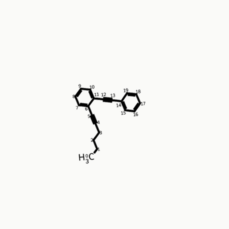 CCCCC#Cc1ccccc1C#Cc1ccccc1